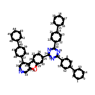 c1ccc(-c2ccc(-c3nc(-c4ccc(-c5ccccc5)cc4)nc(-c4ccc5c(c4)oc4cncc(-c6ccc(-c7ccccc7)cc6)c45)n3)cc2)cc1